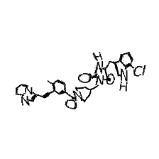 Cc1ccc(C(=O)N2CCC(CN3C(=O)NC(Cc4c[nH]c5c(Cl)cccc45)C3=O)CC2)cc1C#Cc1cnc2ccccn12